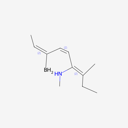 BC(/C=C\C(NC)=C(/C)CC)=C/C